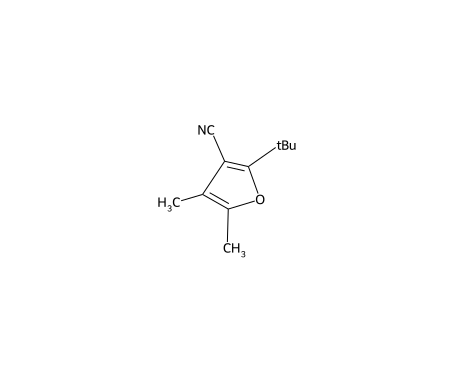 Cc1oc(C(C)(C)C)c(C#N)c1C